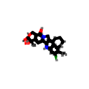 CC[C@@]1(O)C(=O)OCc2c1cc1n(c2=O)Cc2c-1nc1cc(F)c(C)c3c1c2CCCC3